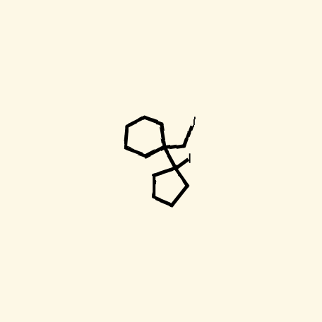 ICC1(C2(I)CCCC2)CCCCC1